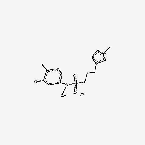 Cc1ccc(N(O)S(=O)(=O)CCCn2cc[n+](C)c2)cc1Cl.[Cl-]